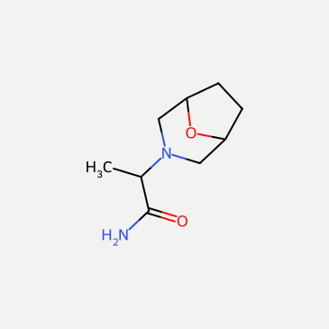 CC(C(N)=O)N1CC2CCC(C1)O2